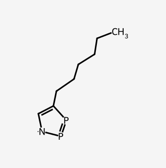 CCCCCCC1=C[N]P=P1